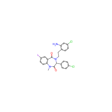 CN1C(=O)C(c2ccc(Cl)cc2)N(CCc2ccc(Cl)cc2N)C(=O)c2cc(I)ccc21